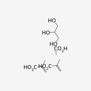 C=C(C)C(=O)O.C=C(C)C(=O)O.CC(=O)O.OCC(O)CO